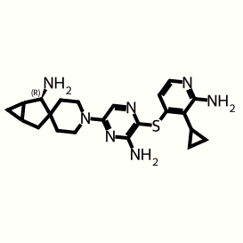 Nc1nc(N2CCC3(CC2)CC2CC2[C@H]3N)cnc1Sc1ccnc(N)c1C1CC1